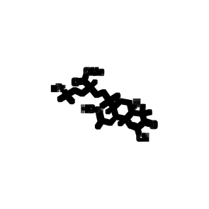 CCCC(C)(C)CC[C@@](C)(CCC(C)(C)[C@]1(C)CC[C@H]2C(C)(C)C(=O)C(C#N)=C[C@]2(C)[C@H]1CC(C)=NO)C(=O)OC